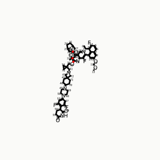 CCc1c(F)ccc2cc(OCOC)cc(-c3ncc4c(N5CC6CCC(C5)N6C(=O)OC(C)(C)C)nc(OCC5(CN6CC7(CCC(N8CCN(c9cc(F)c(C%10CCC(=O)NC%10=O)c(F)c9)CC8)CC7)C6)CC5)nc4c3F)c12